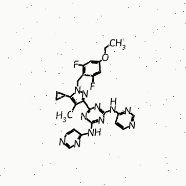 CCOc1cc(F)c(Cn2nc(-c3nc(Nc4ccncn4)nc(Nc4ccncn4)n3)c(C)c2C2CC2)c(F)c1